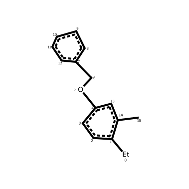 CCc1ccc(OCc2ccccc2)cc1C